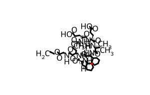 C=CCOC(=O)CNC(=O)C(=O)C(CCC)NC(=O)[C@@H]1C[C@@H]2CCCC[C@@H]2N1C(=O)[C@@H](NC(=O)[C@@H](NC(=O)[C@H](CCC(=O)O)NC(=O)[C@H](CCC(=O)O)NC(C)=O)C(C)C)C1CCCCC1